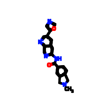 CN1Cc2ccc(C(=O)Nc3cc4cc(-c5cnco5)cnc4cn3)cc2C1